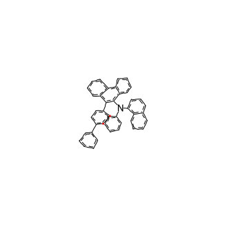 c1ccc(-c2ccc(-c3c(N(c4ccccc4)c4cccc5ccccc45)c4ccccc4c4ccccc34)cc2)cc1